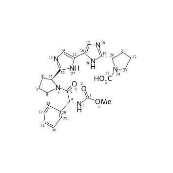 COC(=O)N[C@@H](C(=O)N1CCC[C@H]1c1ncc(-c2cnc([C@@H]3CCCN3C(=O)O)[nH]2)[nH]1)c1ccccc1